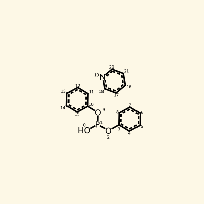 OP(Oc1ccccc1)Oc1ccccc1.c1ccncc1